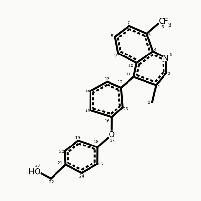 Cc1cnc2c(C(F)(F)F)cccc2c1-c1cccc(Oc2ccc(CO)cc2)c1